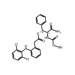 CC(C)(C)OC(=O)N[C@H](C(N)=O)[C@H](OC(=O)Cc1ccccc1Nc1c(Cl)cccc1Cl)c1ccccc1